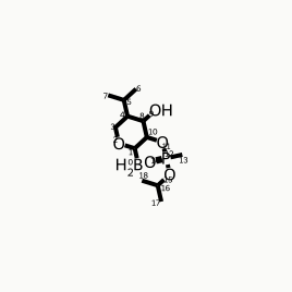 BC1OCC(C(C)C)C(O)C1OP(C)(=O)OC(C)C